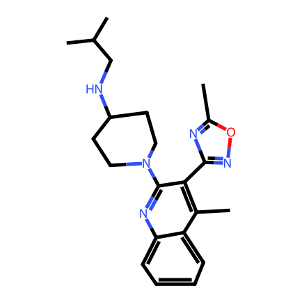 Cc1nc(-c2c(N3CCC(NCC(C)C)CC3)nc3ccccc3c2C)no1